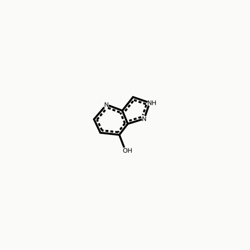 Oc1ccnc2c[nH]nc12